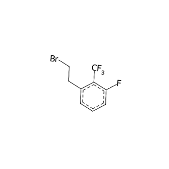 Fc1cccc(CCBr)c1C(F)(F)F